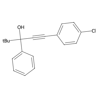 CC(C)(C)C(O)(C#Cc1ccc(Cl)cc1)c1ccccc1